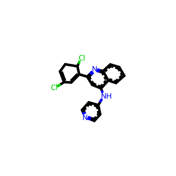 ClC1=CCC(Cl)C(c2cc(Nc3ccncc3)c3ccccc3n2)=C1